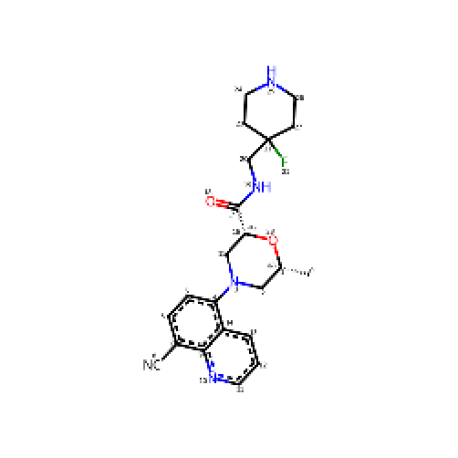 C[C@@H]1CN(c2ccc(C#N)c3ncccc23)C[C@H](C(=O)NCC2(F)CCNCC2)O1